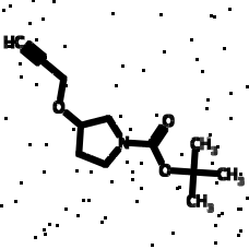 C#CCOC1CCN(C(=O)OC(C)(C)C)C1